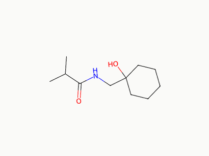 CC(C)C(=O)NCC1(O)CCCCC1